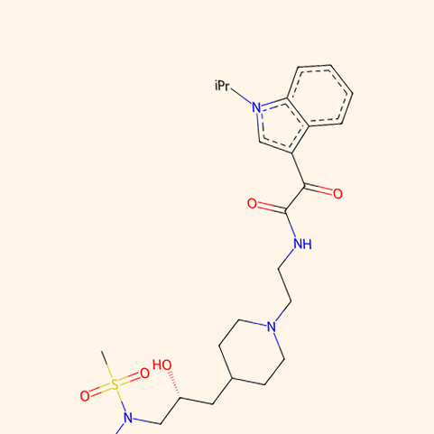 CC(C)n1cc(C(=O)C(=O)NCCN2CCC(C[C@@H](O)CN(C)S(C)(=O)=O)CC2)c2ccccc21